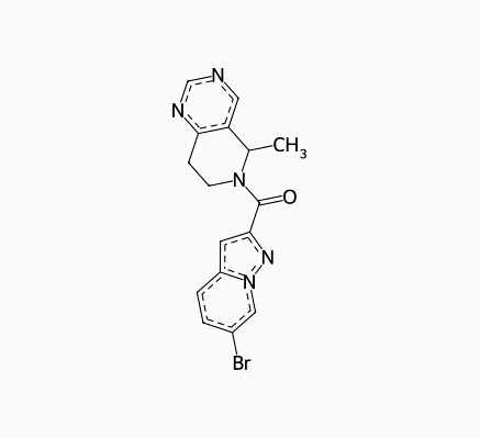 CC1c2cncnc2CCN1C(=O)c1cc2ccc(Br)cn2n1